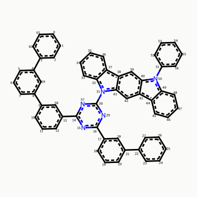 c1ccc(-c2cccc(-c3cccc(-c4nc(-c5cccc(-c6ccccc6)c5)nc(-n5c6ccccc6c6cc7c(cc65)c5ccccc5n7-c5ccccc5)n4)c3)c2)cc1